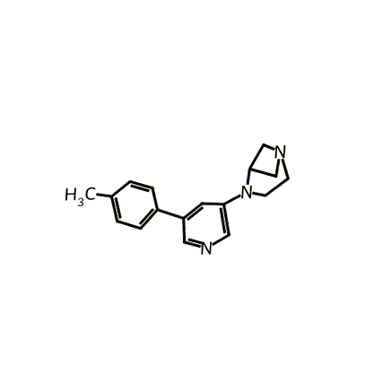 Cc1ccc(-c2cncc(N3CCN4CC3C4)c2)cc1